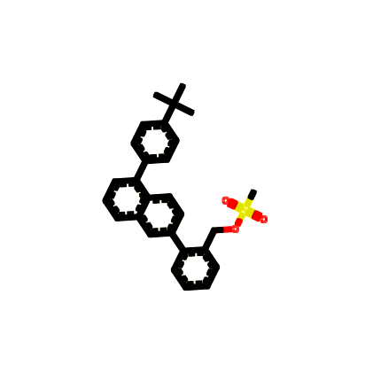 CC(C)(C)c1ccc(-c2cccc3cc(-c4ccccc4COS(C)(=O)=O)ccc23)cc1